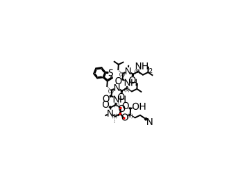 CC(C)C[C@H](NC(=O)[C@H](Cc1csc2ccccc12)N(C)C(=O)[C@H](CC(C)C)NC(=O)[C@H](CC(C)C)N(C)C(=O)[C@@H](N)CC(C)C)C(=O)N(C)[C@@H](C)C(=O)O[C@H](CCC#N)C(=O)O